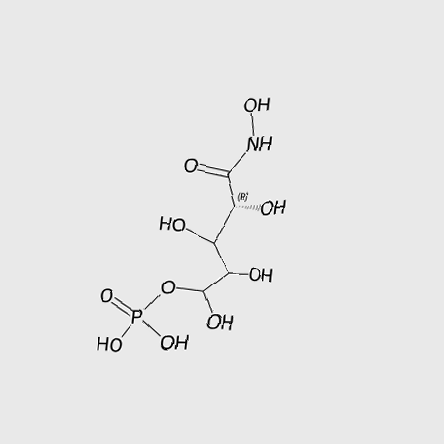 O=C(NO)[C@H](O)C(O)C(O)C(O)OP(=O)(O)O